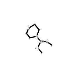 CO[SiH](OC)N1CCOCC1